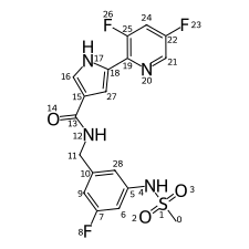 CS(=O)(=O)Nc1cc(F)cc(CNC(=O)c2c[nH]c(-c3ncc(F)cc3F)c2)c1